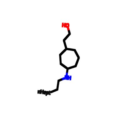 CCCCCCCCCNC1CCCC(CCO)CC1